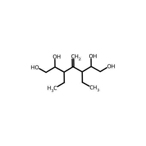 C=C(C(CC)C(O)CO)C(CC)C(O)CO